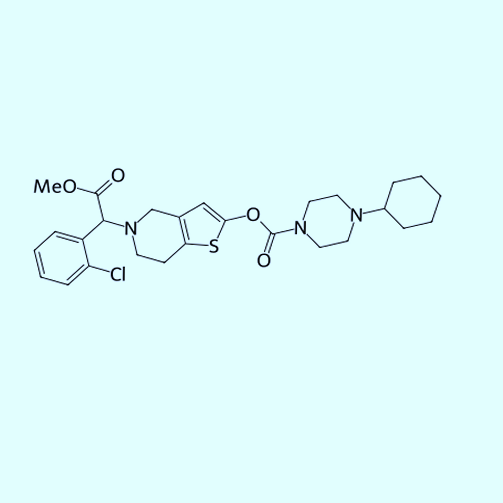 COC(=O)C(c1ccccc1Cl)N1CCc2sc(OC(=O)N3CCN(C4CCCCC4)CC3)cc2C1